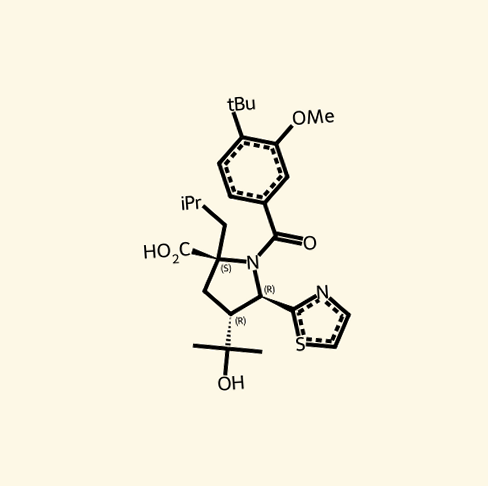 COc1cc(C(=O)N2[C@@H](c3nccs3)[C@H](C(C)(C)O)C[C@@]2(CC(C)C)C(=O)O)ccc1C(C)(C)C